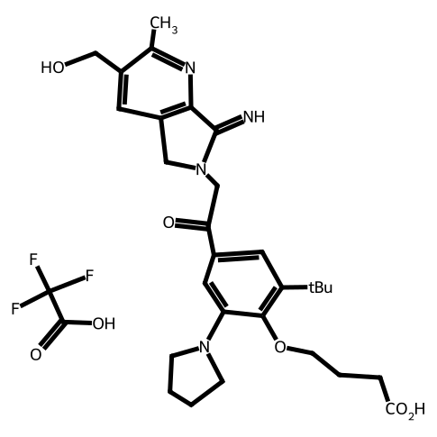 Cc1nc2c(cc1CO)CN(CC(=O)c1cc(N3CCCC3)c(OCCCC(=O)O)c(C(C)(C)C)c1)C2=N.O=C(O)C(F)(F)F